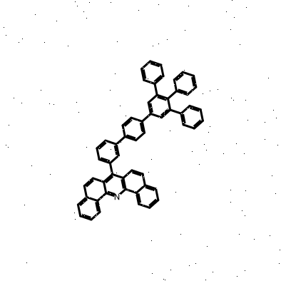 c1ccc(-c2cc(-c3ccc(-c4cccc(-c5c6ccc7ccccc7c6nc6c5ccc5ccccc56)c4)cc3)cc(-c3ccccc3)c2-c2ccccc2)cc1